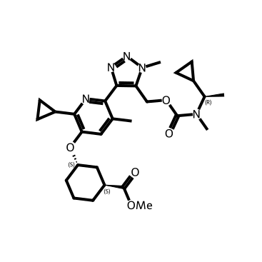 COC(=O)[C@H]1CCC[C@H](Oc2cc(C)c(-c3nnn(C)c3COC(=O)N(C)[C@H](C)C3CC3)nc2C2CC2)C1